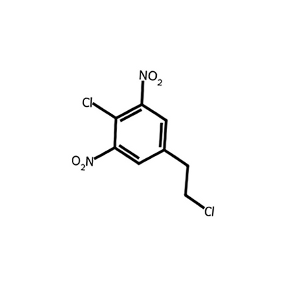 O=[N+]([O-])c1cc(CCCl)cc([N+](=O)[O-])c1Cl